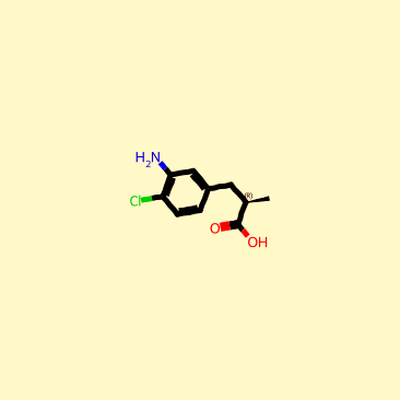 C[C@H](Cc1ccc(Cl)c(N)c1)C(=O)O